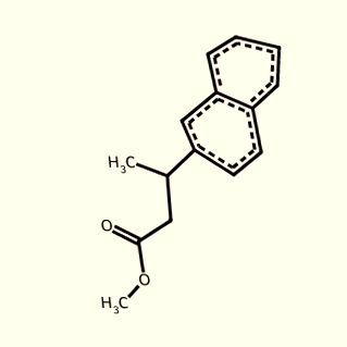 COC(=O)CC(C)c1ccc2ccccc2c1